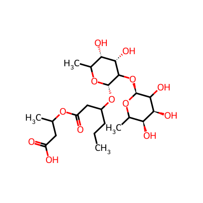 CCCC(CC(=O)OC(C)CC(=O)O)O[C@@H]1OC(C)[C@H](O)[C@H](O)C1O[C@@H]1OC(C)[C@H](O)[C@H](O)C1O